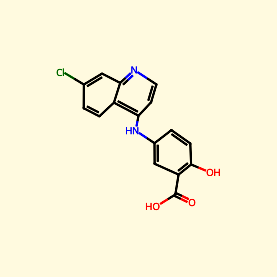 O=C(O)c1cc(Nc2ccnc3cc(Cl)ccc23)ccc1O